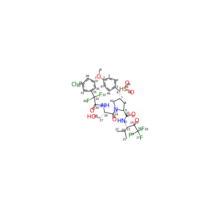 COc1ccc(C([C@@H]2C[C@@H](C(=O)N[C@H](C(=O)C(F)(F)F)C(C)C)N(C(=O)[C@H](CO)NC(=O)C(F)(F)c3cccc(Cl)c3)C2)[SH](=O)=O)cc1